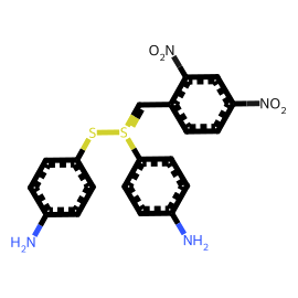 Nc1ccc(SS(=Cc2ccc([N+](=O)[O-])cc2[N+](=O)[O-])c2ccc(N)cc2)cc1